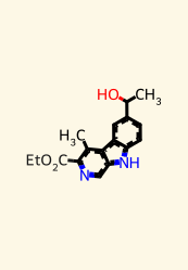 CCOC(=O)c1ncc2[nH]c3ccc(C(C)O)cc3c2c1C